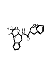 C[C@@H](C(=O)O)N1Cc2ccccc2C[C@H](NC(=O)[C@@H](CS)Cc2ccccc2)C1=O